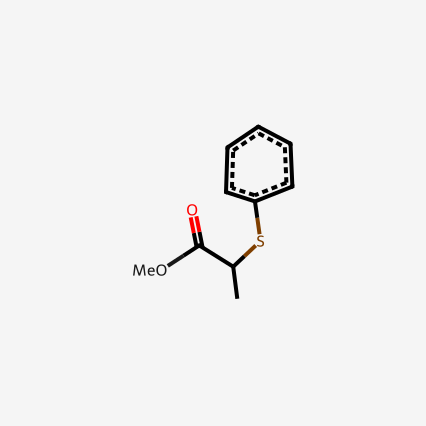 COC(=O)C(C)Sc1ccccc1